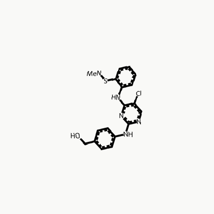 CNSc1ccccc1Nc1nc(Nc2ccc(CO)cc2)ncc1Cl